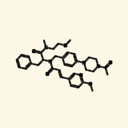 COCCN(C)C(=O)C(Cc1ccccc1)N(Cc1ccc(N2CCN(C(C)=O)CC2)cc1)C(=O)C=Cc1ccc(OC)nc1